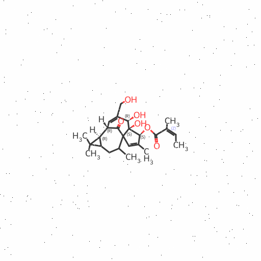 C/C=C(/C)C(=O)O[C@H]1C(C)=CC23C(=O)[C@@H](C=C(CO)[C@@H](O)[C@]12O)[C@H]1C(CC3C)C1(C)C